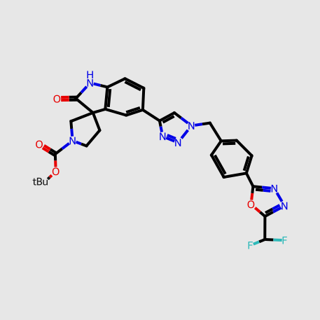 CC(C)(C)OC(=O)N1CCC2(C1)C(=O)Nc1ccc(-c3cn(Cc4ccc(-c5nnc(C(F)F)o5)cc4)nn3)cc12